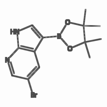 CC1(C)OB(c2c[nH]c3ncc(Br)cc23)OC1(C)C